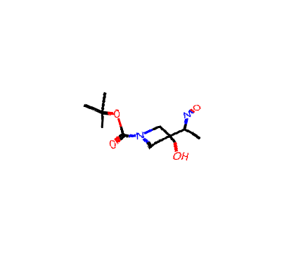 CC(N=O)C1(O)CN(C(=O)OC(C)(C)C)C1